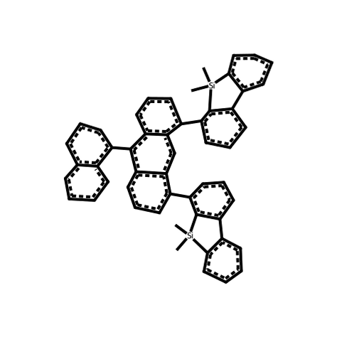 C[Si]1(C)c2ccccc2-c2cccc(-c3cccc4c(-c5cccc6ccccc56)c5cccc(-c6cccc7c6[Si](C)(C)c6ccccc6-7)c5cc34)c21